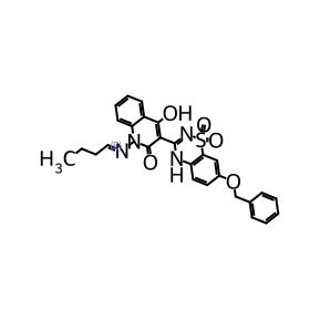 CCC/C=N/n1c(=O)c(C2=NS(=O)(=O)c3cc(OCc4ccccc4)ccc3N2)c(O)c2ccccc21